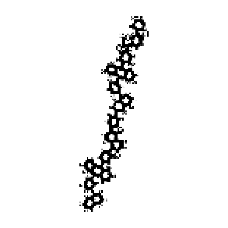 C1=Cc2oc3ccc4c(ccc5oc6cc(-c7c8ccccc8c(-c8cccc(-c9cccc%10c9CCC(c9ccc%11c(c9)oc9c%11ccc%11c9ccc9oc%12cc(-c%13c%14ccccc%14c(-c%14cccc(-c%15cccc%16ccccc%15%16)c%14)c%14ccccc%13%14)ccc%12c9%11)=C%10)c8)c8ccccc78)ccc6c54)c3c2CC1